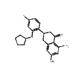 Cc1nc(N)nc2c1C(=O)CC(c1ccc(F)cc1OC1CCCC1)C2